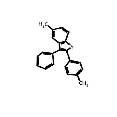 Cc1ccc(-c2sc3ccc(C)cc3c2-c2ccccc2)cc1